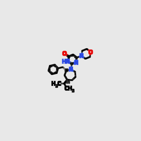 CC(C)[C@@H]1CCCN(c2nc(N3CCOCC3)cc(=O)[nH]2)[C@@H](Cc2ccccc2)C1